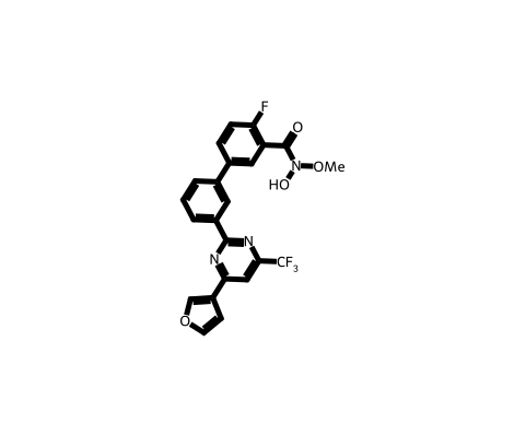 CON(O)C(=O)c1cc(-c2cccc(-c3nc(-c4ccoc4)cc(C(F)(F)F)n3)c2)ccc1F